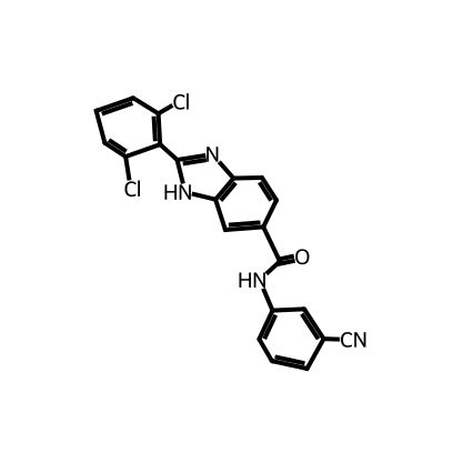 N#Cc1cccc(NC(=O)c2ccc3nc(-c4c(Cl)cccc4Cl)[nH]c3c2)c1